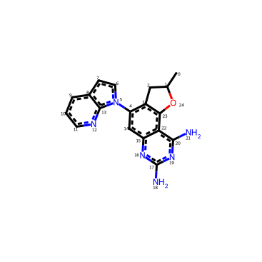 CC1Cc2c(-n3ccc4cccnc43)cc3nc(N)nc(N)c3c2O1